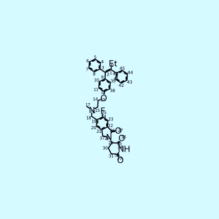 CCC(=C(c1ccccc1)c1ccc(OCCN(C)Cc2cc3c(cc2F)C(=O)N(C2CCC(=O)NC2=O)C3)cc1)c1ccccc1